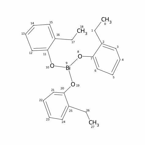 CCc1ccccc1[O][Bi]([O]c1ccccc1CC)[O]c1ccccc1CC